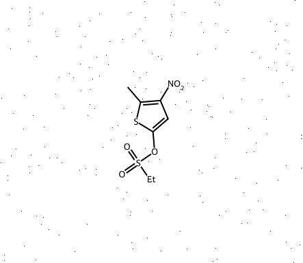 CCS(=O)(=O)Oc1cc([N+](=O)[O-])c(C)s1